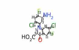 Nc1cc(-n2cc(C(=O)O)c(=O)c3cc(F)c(Cl)cc32)c(Cl)cc1F